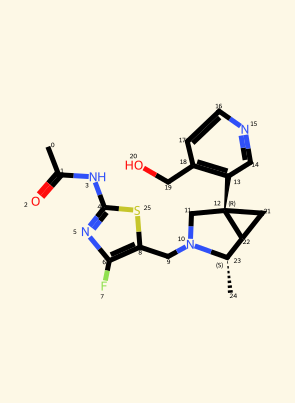 CC(=O)Nc1nc(F)c(CN2C[C@]3(c4cnccc4CO)CC3[C@@H]2C)s1